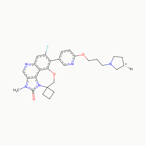 [2H][C@H]1CCN(CCCOc2ccc(-c3c(F)cc4ncc5c6c4c3OCC3(CCC3)n6c(=O)n5C)cn2)C1